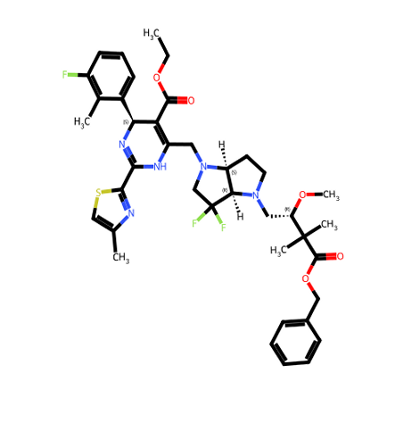 CCOC(=O)C1=C(CN2CC(F)(F)[C@H]3[C@@H]2CCN3C[C@H](OC)C(C)(C)C(=O)OCc2ccccc2)NC(c2nc(C)cs2)=N[C@H]1c1cccc(F)c1C